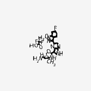 Cn1nc(-c2cnc3[nH]cc(C(=O)NC(C)(C)CCN)c3n2)c2ccc(F)cc21.O=C(O)C(F)(F)F